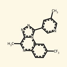 Cc1cncc(-c2nnc3c(C)nc4ccc(C(F)(F)F)cc4n23)c1